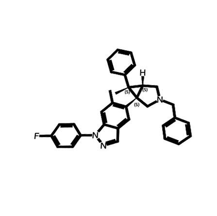 Cc1cc2c(cnn2-c2ccc(F)cc2)cc1[C@]12CN(Cc3ccccc3)C[C@H]1[C@@]2(C)c1ccccc1